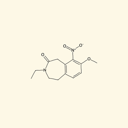 CCN1CCc2ccc(OC)c([N+](=O)[O-])c2CC1=O